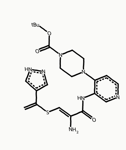 C=C(S/C=C(\N)C(=O)Nc1cnccc1N1CCN(C(=O)OC(C)(C)C)CC1)c1cn[nH]c1